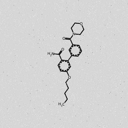 CCCCCOc1ccc(C(N)=O)c(-c2cccc(C(=O)N3CCOCC3)c2)c1